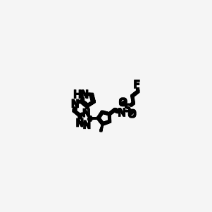 C[C@@H]1CC(/C=N/S(=O)(=O)CCCF)C[C@@H]1c1nnc2cnc3[nH]ccc3n12